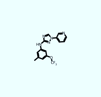 Cc1cc(Nc2ncn(-c3cccnc3)n2)cc(OC(F)(F)F)c1